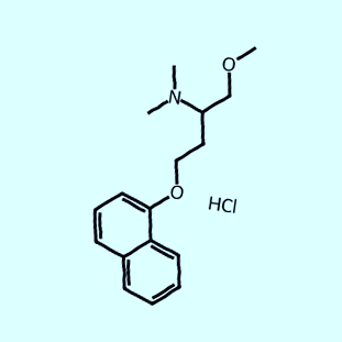 COCC(CCOc1cccc2ccccc12)N(C)C.Cl